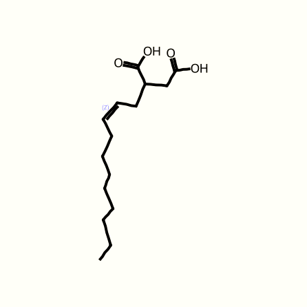 CCCCCCCC/C=C\CC(CC(=O)O)C(=O)O